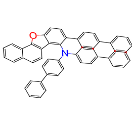 c1ccc(-c2ccc(-c3ccc4oc5c6ccccc6ccc5c4c3N(c3ccc(-c4ccccc4)cc3)c3ccc(-c4ccccc4)cc3)cc2)cc1